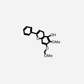 COCOc1cc2c(c(O)c1OC)CC=C(c1ccccc1)O2